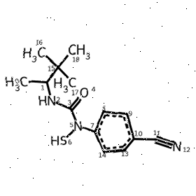 CC(NC(=O)N(S)c1ccc(C#N)cc1)C(C)(C)C